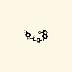 O=C(CN1CCC(Oc2ccc3nccc(Cl)c3c2)CC1)Nc1ccc(Cl)cc1